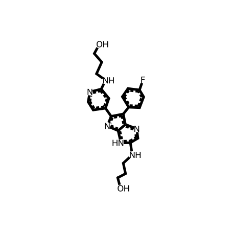 OCCCNc1cc(-c2nc3[nH]c(NCCCO)cnc-3c2-c2ccc(F)cc2)ccn1